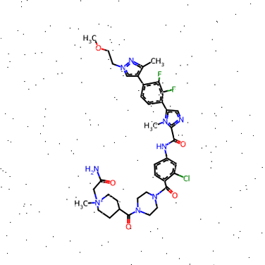 COCCn1cc(-c2ccc(-c3cnc(C(=O)Nc4ccc(C(=O)N5CCN(C(=O)C6CC[N+](C)(CC(N)=O)CC6)CC5)c(Cl)c4)n3C)c(F)c2F)c(C)n1